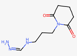 N/N=C\NCCCN1C(=O)CCCC1=O